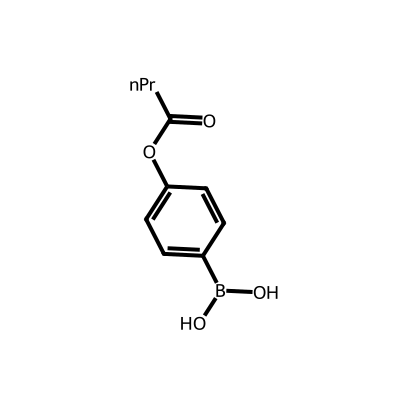 CCCC(=O)Oc1ccc(B(O)O)cc1